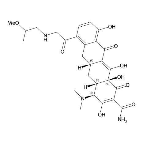 COC(C)CNCC(=O)c1ccc(O)c2c1C[C@H]1C[C@H]3[C@H](N(C)C)C(O)=C(C(N)=O)C(=O)[C@@]3(O)C(O)=C1C2=O